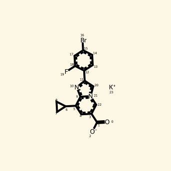 O=C([O-])c1cc(C2CC2)c2nc(-c3ccc(Br)cc3F)cn2c1.[K+]